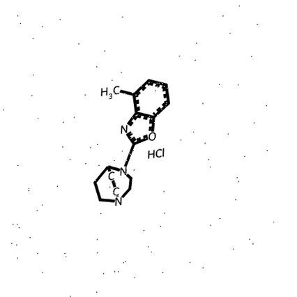 Cc1cccc2oc(N3CCN4CCC3CC4)nc12.Cl